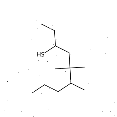 CCCC(C)C(C)(C)CC(S)CC